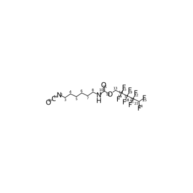 O=C=NCCCCCCNC(=O)OCC(F)(F)C(F)(F)C(F)(F)C(F)F